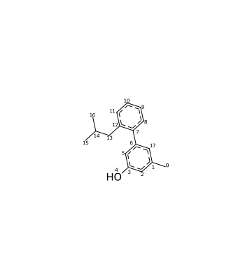 Cc1cc(O)cc(-c2ccccc2CC(C)C)c1